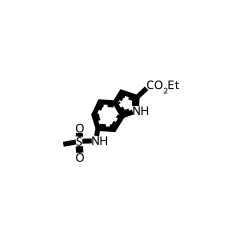 CCOC(=O)c1cc2ccc(NS(C)(=O)=O)cc2[nH]1